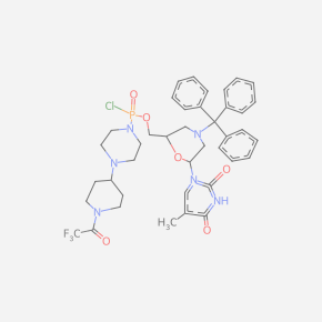 Cc1cn(C2CN(C(c3ccccc3)(c3ccccc3)c3ccccc3)CC(COP(=O)(Cl)N3CCN(C4CCN(C(=O)C(F)(F)F)CC4)CC3)O2)c(=O)[nH]c1=O